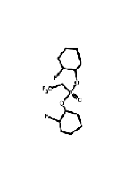 O=P(CC(F)(F)F)(OC1CCCCC1F)OC1CCCCC1F